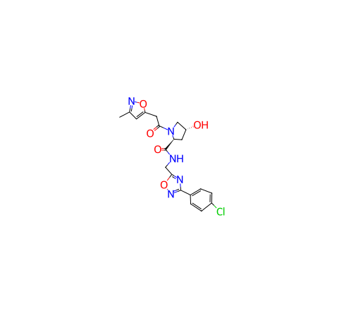 Cc1cc(CC(=O)N2C[C@H](O)C[C@H]2C(=O)NCc2nc(-c3ccc(Cl)cc3)no2)on1